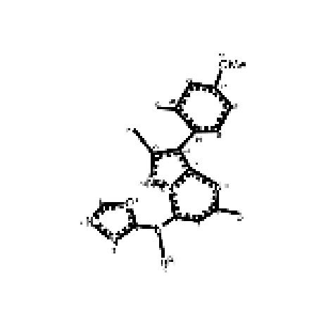 CCCN(c1nnco1)c1cc(C)nc2c(-c3ccc(OC)cc3C)c(C)nn12